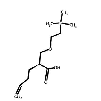 C=CCC[C@@H](COCCS(C)(C)C)C(=O)O